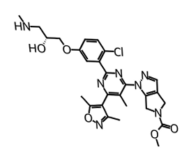 CNC[C@@H](O)COc1ccc(Cl)c(-c2nc(-c3c(C)noc3C)c(C)c(-n3ncc4c3CN(C(=O)OC)C4)n2)c1